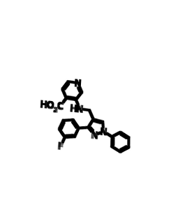 O=C(O)c1ccncc1NCc1cn(-c2ccccc2)nc1-c1cccc(F)c1